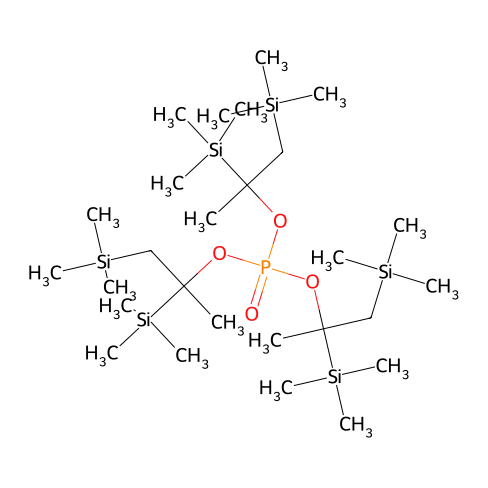 CC(C[Si](C)(C)C)(OP(=O)(OC(C)(C[Si](C)(C)C)[Si](C)(C)C)OC(C)(C[Si](C)(C)C)[Si](C)(C)C)[Si](C)(C)C